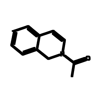 CC(=O)N1C=Cc2c[c]ccc2C1